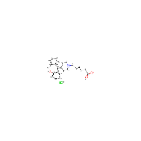 Cl.O=C(O)CCCCCN1CCC(=C2c3ccccc3COc3ccccc32)CC1